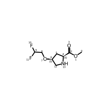 COC(=O)[C@@H]1C[C@H](OCC(F)F)CN1